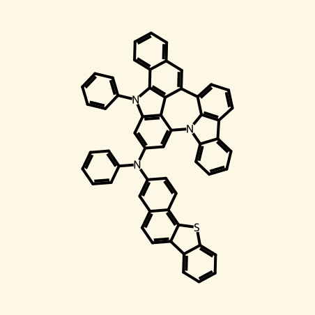 c1ccc(N(c2ccc3c(ccc4c5ccccc5sc34)c2)c2cc3c4c5c(cc6ccccc6c5n3-c3ccccc3)c3cccc5c6ccccc6n(c4c2)c35)cc1